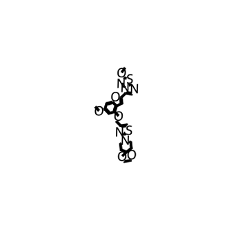 COc1cc(OCc2csc(N3CCC4(CC3)OCCO4)n2)c2cc(-c3cnc4sc(OC)nn34)oc2c1